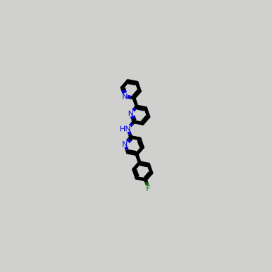 Fc1ccc(-c2ccc(Nc3cccc(-c4ccccn4)n3)nc2)cc1